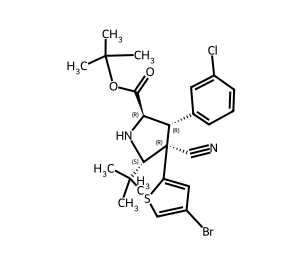 CC(C)(C)OC(=O)[C@@H]1N[C@@H](C(C)(C)C)[C@](C#N)(c2cc(Br)cs2)[C@H]1c1cccc(Cl)c1